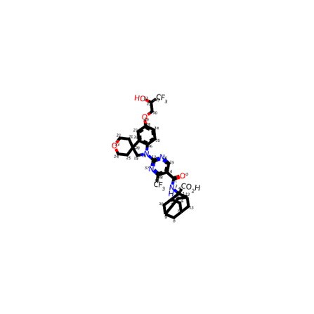 O=C(NC1(C(=O)O)C2CC3CC(C2)CC1C3)c1cnc(N2CC3(CCOCC3)c3cc(OCC(O)C(F)(F)F)ccc32)nc1C(F)(F)F